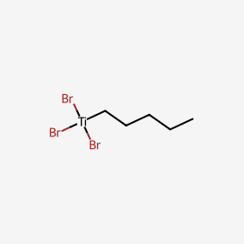 CCCC[CH2][Ti]([Br])([Br])[Br]